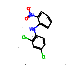 O=[N+]([O-])c1ccccc1Nc1ccc(Cl)cc1Cl